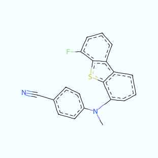 CN(c1ccc(C#N)cc1)c1cccc2c1sc1c(F)cccc12